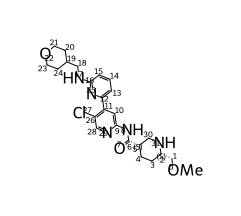 COC[C@@H]1CC[C@H](C(=O)Nc2cc(-c3cccc(NCC4CCOCC4)n3)c(Cl)cn2)CN1